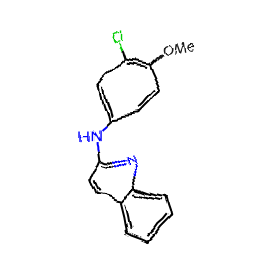 COc1ccc(Nc2ccc3ccccc3n2)cc1Cl